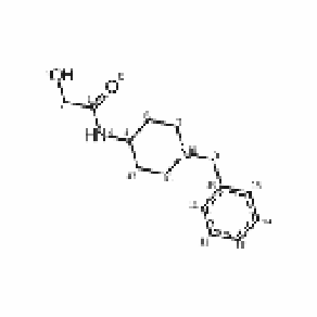 O=C(CO)NC1CCN(Cc2ccccc2)CC1